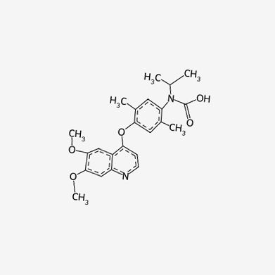 COc1cc2nccc(Oc3cc(C)c(N(C(=O)O)C(C)C)cc3C)c2cc1OC